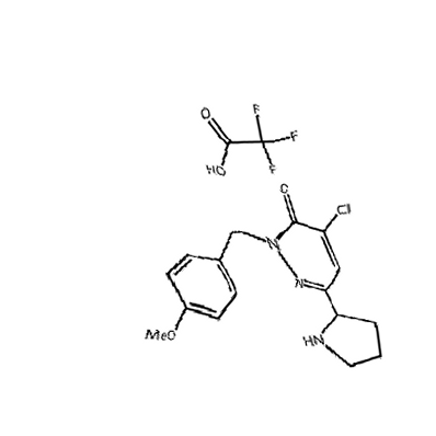 COc1ccc(Cn2nc(C3CCCN3)cc(Cl)c2=O)cc1.O=C(O)C(F)(F)F